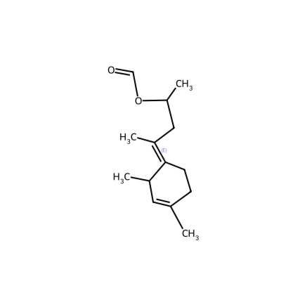 CC1=CC(C)/C(=C(\C)CC(C)OC=O)CC1